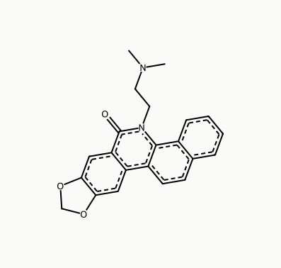 CN(C)CCn1c(=O)c2cc3c(cc2c2ccc4ccccc4c21)OCO3